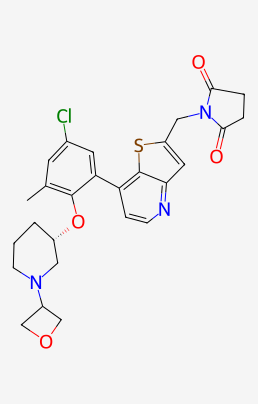 Cc1cc(Cl)cc(-c2ccnc3cc(CN4C(=O)CCC4=O)sc23)c1O[C@H]1CCCN(C2COC2)C1